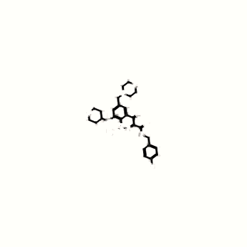 Cn1nc(C(=O)NCc2ccc(Cl)cc2)c(=O)c2cc(CN3CCOCC3)cc(NC3CCOCC3)c21